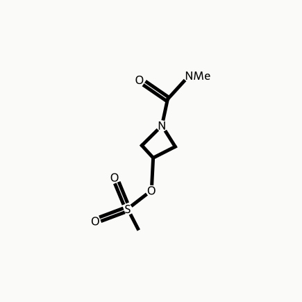 CNC(=O)N1CC(OS(C)(=O)=O)C1